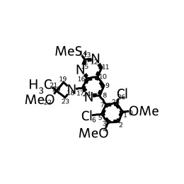 COc1cc(OC)c(Cl)c(-c2cc3cnc(SC)nc3c(N3CC(C)(OC)C3)n2)c1Cl